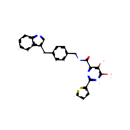 O=C(NCc1ccc(Cc2c[nH]c3ccccc23)cc1)c1nc(-c2cccs2)nc(O)c1O